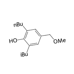 CCCCc1cc(COC)cc(C(C)CC)c1O